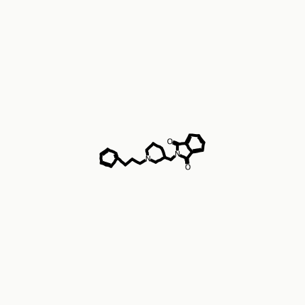 O=C1c2ccccc2C(=O)N1CC1CCCN(CCCc2ccccc2)C1